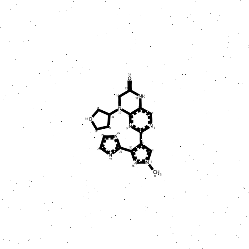 Cn1cc(-c2ncc3c(n2)N(C2CCOC2)CC(=O)N3)c(-c2nccs2)n1